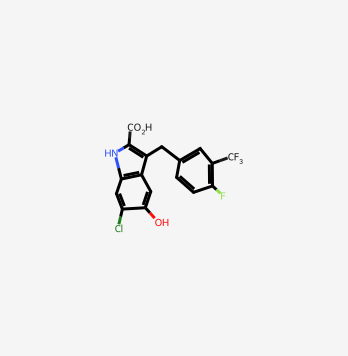 O=C(O)c1[nH]c2cc(Cl)c(O)cc2c1Cc1ccc(F)c(C(F)(F)F)c1